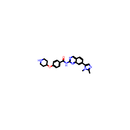 Cc1ncc(-c2ccc3cnc(NC(=O)c4ccc(OC5CCNCC5)cc4)nc3c2)n1C